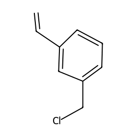 C=Cc1cccc(CCl)c1